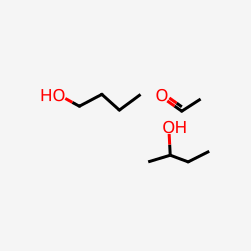 CC=O.CCC(C)O.CCCCO